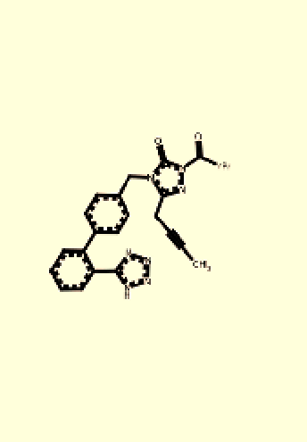 CC#CCc1nn(C(=O)CCC)c(=O)n1Cc1ccc(-c2ccccc2-c2nnn[nH]2)cc1